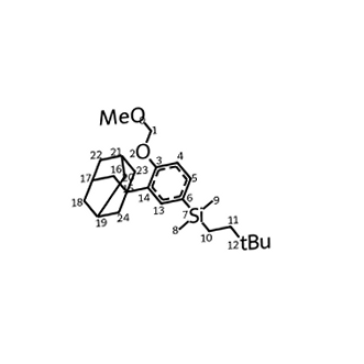 COCOc1ccc([Si](C)(C)CCC(C)(C)C)cc1C12CC3CC(CC(C3)C1)C2